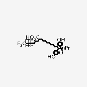 CCCC1(c2ccc(O)cc2)COc2cc(O)ccc2C1CCCCCCCCCC(CCCC(F)(F)C(F)(F)C(F)(F)C(F)(F)F)C(=O)O